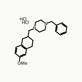 COc1ccc2c(c1)CCC(CN1CCN(Cc3ccccc3)CC1)C2.Cl.Cl